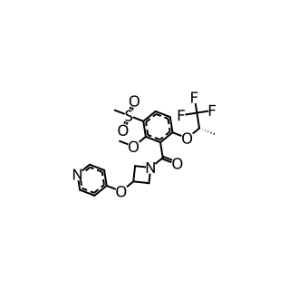 COc1c(S(C)(=O)=O)ccc(O[C@@H](C)C(F)(F)F)c1C(=O)N1CC(Oc2ccncc2)C1